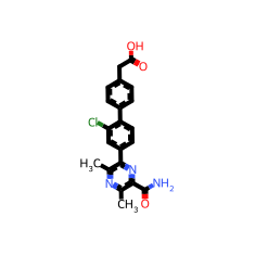 Cc1nc(C)c(-c2ccc(-c3ccc(CC(=O)O)cc3)c(Cl)c2)nc1C(N)=O